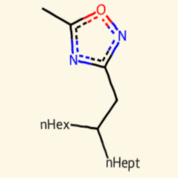 CCCCCCCC(CCCCCC)Cc1noc(C)n1